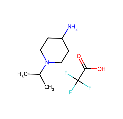 CC(C)N1CCC(N)CC1.O=C(O)C(F)(F)F